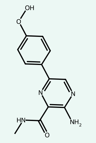 CNC(=O)c1nc(-c2ccc(OO)cc2)cnc1N